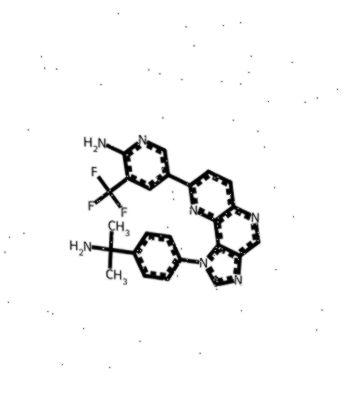 CC(C)(N)c1ccc(-n2cnc3cnc4ccc(-c5cnc(N)c(C(F)(F)F)c5)nc4c32)cc1